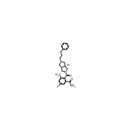 Cc1cc(F)cc(C(N)=O)c1C(=O)N1CC2CN(CC[CH]c3ccccc3)C[C@H]2C1